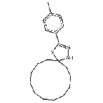 Cc1ccc(C2=NNC3(CCCCCCCCCCC3)S2)cc1